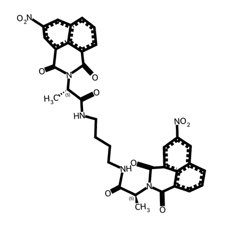 C[C@@H](C(=O)NCCCCNC(=O)[C@H](C)N1C(=O)c2cccc3cc([N+](=O)[O-])cc(c23)C1=O)N1C(=O)c2cccc3cc([N+](=O)[O-])cc(c23)C1=O